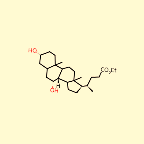 CCOC(=O)CC[C@@H](C)[C@H]1CCC2[C@H]3C(CCC21C)C1(C)CC[C@@H](O)CC1C[C@H]3O